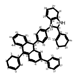 C1=CCCC(C2=C3C=CC(c4ccccc4)=CC3C(c3ccc(N4C5=C(CCC=C5)NC4C4=CCCC=C4)cc3)c3ccccc32)=C1